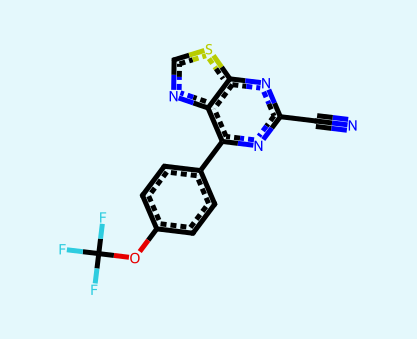 N#Cc1nc(-c2ccc(OC(F)(F)F)cc2)c2ncsc2n1